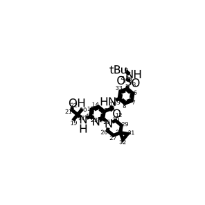 CC(C)(C)NS(=O)(=O)c1cccc(NC(=O)c2ccc(NC(C)(C)CO)nc2N2CCC3(CC2)CC3)c1